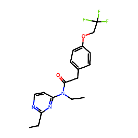 CCc1nccc(N(CC)C(=O)Cc2ccc(OCC(F)(F)F)cc2)n1